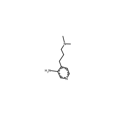 CN(C)CCCc1ccncc1N